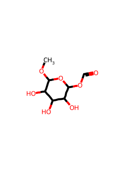 COC1OC(OC=O)C(O)C(O)C1O